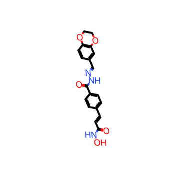 O=C(/C=C/c1ccc(C(=O)N/N=C/c2ccc3c(c2)OCCO3)cc1)NO